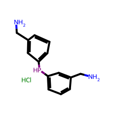 Cl.NCc1cccc(Pc2cccc(CN)c2)c1